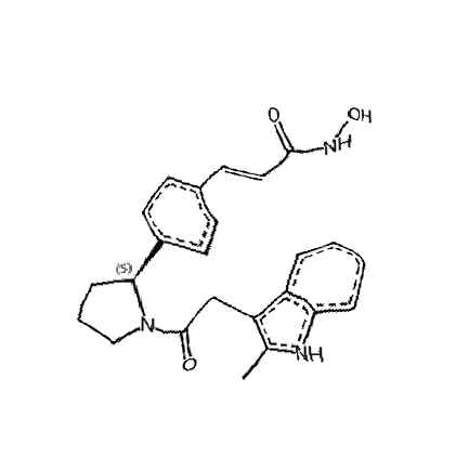 Cc1[nH]c2ccccc2c1CC(=O)N1CCC[C@H]1c1ccc(C=CC(=O)NO)cc1